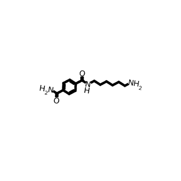 NCCCCCCNC(=O)c1ccc(C(N)=O)cc1